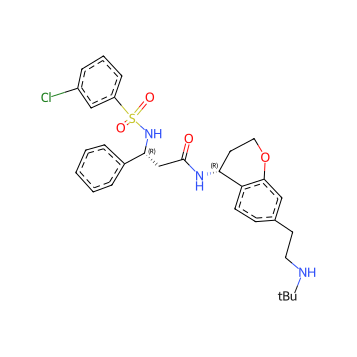 CC(C)(C)NCCc1ccc2c(c1)OCC[C@H]2NC(=O)C[C@@H](NS(=O)(=O)c1cccc(Cl)c1)c1ccccc1